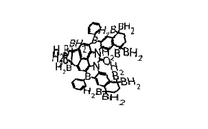 BC1(B)CCC(B)(B)c2cc3c(cc21)B(c1ccccc1)c1cc2c4c(cc5c6c4c1N3C(=O)N6c1cc3c(cc1B5c1ccccc1)C(B)(B)CCC3(B)B)C(B)(B)C2(B)B